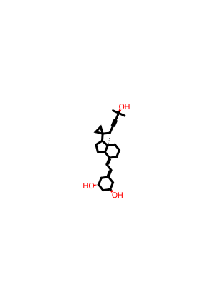 CC(C)(O)C#CCC1(C2CCC3/C(=C/C=C4/CC(O)C[C@H](O)C4)CCC[C@@]32C)CC1